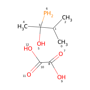 CC(C)C(C)(O)P.O=C(O)C(=O)O